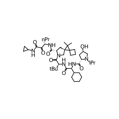 CCC[C@H](NC(=O)[C@@H]1C[C@@]2(CN1C(=O)[C@@H](NC(=O)[C@@H](NC(=O)[C@@H]1C[C@@H](O)CN1C(C)C)C1CCCCC1)C(C)(C)C)C(C)(C)C21CCC1)C(=O)C(=O)NC1CC1